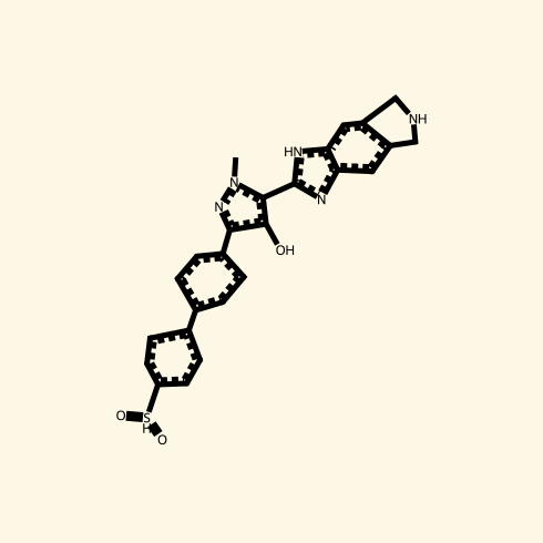 Cn1nc(-c2ccc(-c3ccc([SH](=O)=O)cc3)cc2)c(O)c1-c1nc2cc3c(cc2[nH]1)CNC3